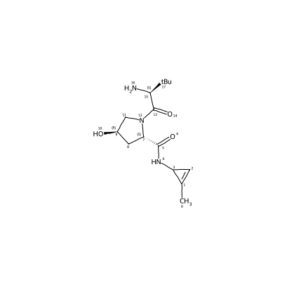 CC1=CC1NC(=O)[C@@H]1C[C@@H](O)CN1C(=O)[C@@H](N)C(C)(C)C